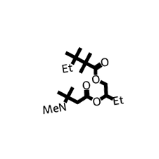 CCC(COC(=O)C(C)(C)C(C)(C)CC)OC(=O)CC(C)(C)NC